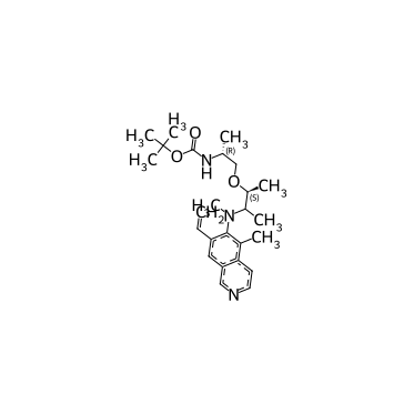 C=Cc1cc2cnccc2c(C)c1N(C)C(C)[C@H](C)OC[C@@H](C)NC(=O)OC(C)(C)C